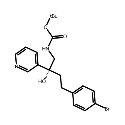 CC(C)(C)OC(=O)NC[C@@](O)(CCc1ccc(Br)cc1)c1cccnc1